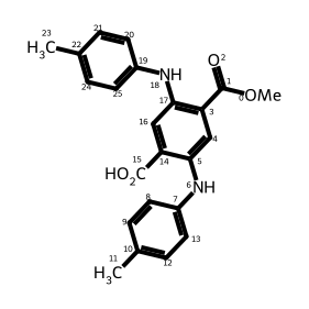 COC(=O)c1cc(Nc2ccc(C)cc2)c(C(=O)O)cc1Nc1ccc(C)cc1